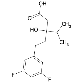 CC(C)C(O)(CCc1cc(F)cc(F)c1)CC(=O)O